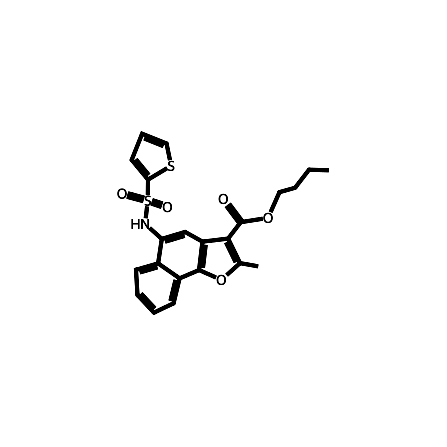 CCCCOC(=O)c1c(C)oc2c1cc(NS(=O)(=O)c1cccs1)c1ccccc12